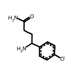 NC(=O)CCC(N)c1ccc(Cl)cc1